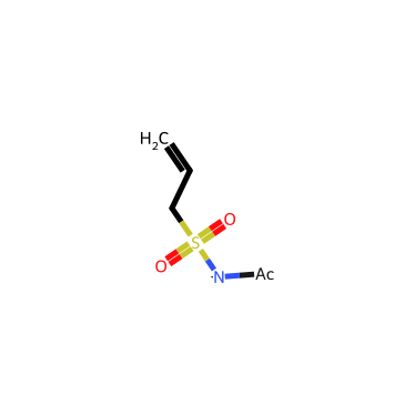 C=CCS(=O)(=O)[N]C(C)=O